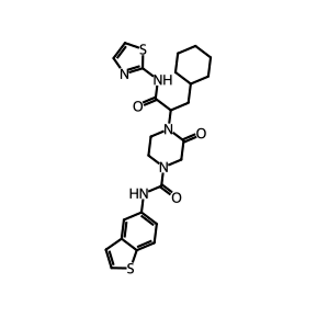 O=C(Nc1nccs1)C(CC1CCCCC1)N1CCN(C(=O)Nc2ccc3sccc3c2)CC1=O